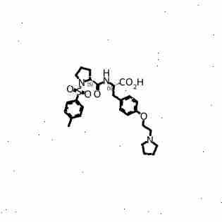 Cc1ccc(S(=O)(=O)N2CCC[C@H]2C(=O)N[C@@H](Cc2ccc(OCCN3CCCC3)cc2)C(=O)O)cc1